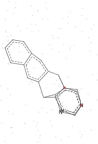 c1cnc2c(c1)C1c3cc4ccccc4cc3C2c2ncncc21